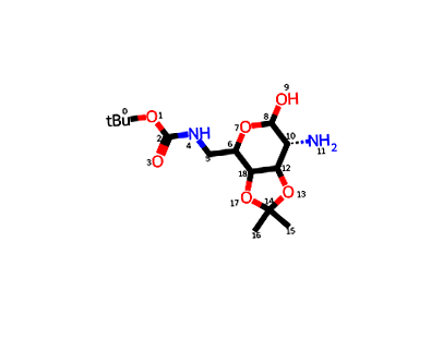 CC(C)(C)OC(=O)NCC1OC(O)[C@H](N)C2OC(C)(C)OC12